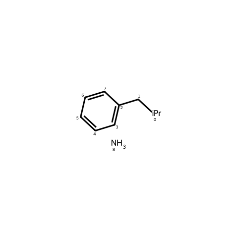 CC(C)Cc1ccccc1.N